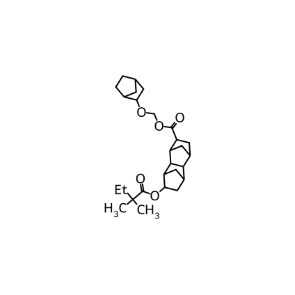 CCC(C)(C)C(=O)OC1CC2CC1C1C3CC(CC3C(=O)OCOC3CC4CCC3C4)C21